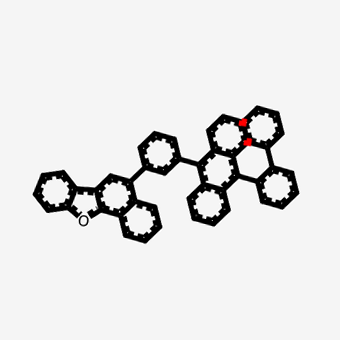 c1ccc(-c2ccccc2-c2c3ccccc3c(-c3cccc(-c4cc5c6ccccc6oc5c5ccccc45)c3)c3ccccc23)cc1